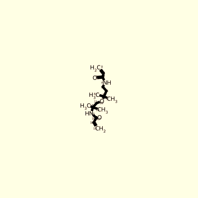 C=CC(=O)NCCC(C)(C)OCC(C)(C)NC(=O)C=C